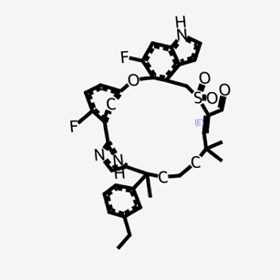 CCc1cccc(C2(C)CCCC(C)(C)/C=C(\C=O)S(=O)(=O)Cc3c(c(F)cc4[nH]ccc34)Oc3ccc(F)c(c3)-c3ncc2[nH]3)c1